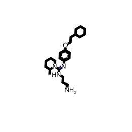 CC1CCCCN1/C(=N\c1ccc(OCCC2CCCCC2)cc1)NCCCN